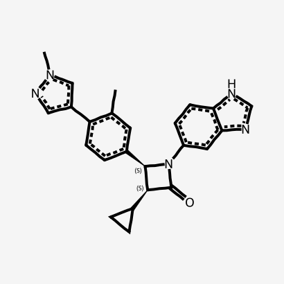 Cc1cc([C@@H]2[C@H](C3CC3)C(=O)N2c2ccc3[nH]cnc3c2)ccc1-c1cnn(C)c1